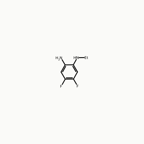 CCNc1cc(F)c(F)cc1N